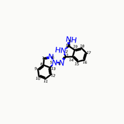 N=C1NC(=Nn2ncc3ccccc32)c2ccccc21